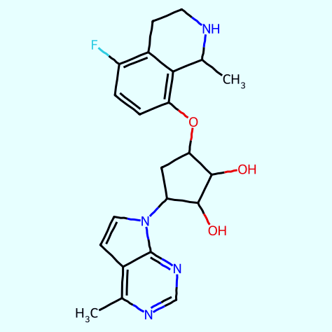 Cc1ncnc2c1ccn2C1CC(Oc2ccc(F)c3c2C(C)NCC3)C(O)C1O